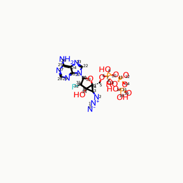 [N-]=[N+]=NC1[C@]2(COP(=O)(O)OP(=O)(O)OP(=O)(O)O)O[C@@H](n3cnc4c(N)ncnc43)[C@H](F)[C@@]12O